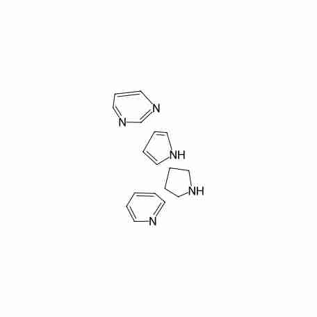 C1CCNC1.c1cc[nH]c1.c1ccncc1.c1cncnc1